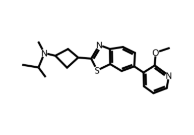 COc1ncccc1-c1ccc2nc(C3CC(N(C)C(C)C)C3)sc2c1